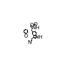 CN(C)CCc1c[nH]c2ccc(C[C@H]3COC(=O)N3)cc12.COc1ccccc1